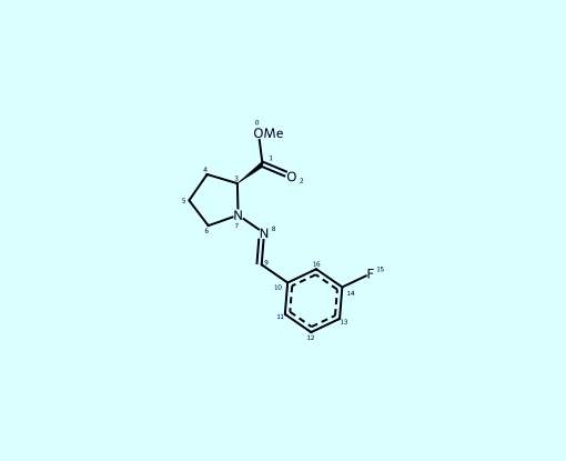 COC(=O)[C@@H]1CCCN1/N=C/c1cccc(F)c1